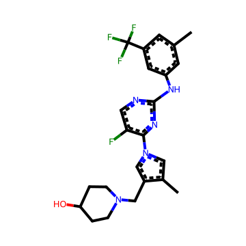 Cc1cc(Nc2ncc(F)c(-n3cc(C)c(CN4CCC(O)CC4)c3)n2)cc(C(F)(F)F)c1